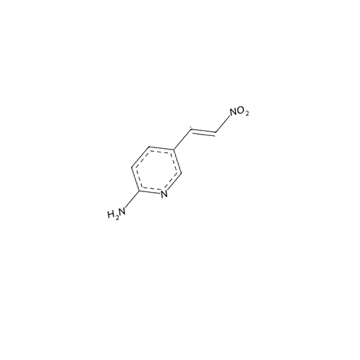 Nc1ccc(/[C]=C/[N+](=O)[O-])cn1